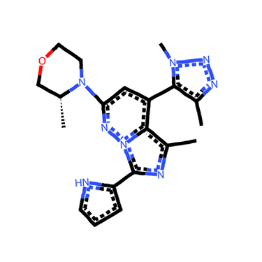 Cc1nnn(C)c1-c1cc(N2CCOC[C@H]2C)nn2c(-c3ccc[nH]3)nc(C)c12